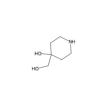 OCC1(O)CCNCC1